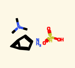 CN(C)C.N.O=[SH](=O)O.c1cc2cc-2c1